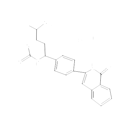 Cl.Cl.Cl.N=C(N)NC(CCC(N)C(=O)O)c1ccc(-c2cc3ccccc3c(=O)[nH]2)cc1